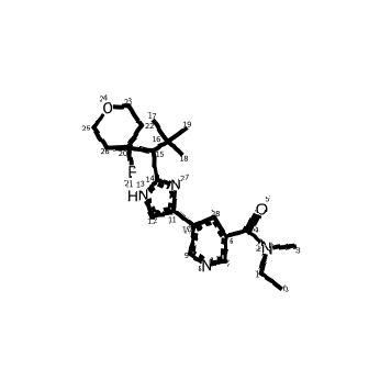 CCN(C)C(=O)c1cncc(-c2c[nH]c(C(C(C)(C)C)C3(F)CCOCC3)n2)c1